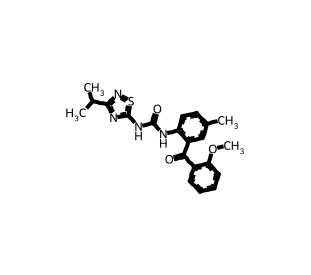 COc1ccccc1C(=O)c1cc(C)ccc1NC(=O)Nc1nc(C(C)C)ns1